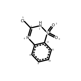 O=S1(=O)NC(Cl)=Nc2ccccc21